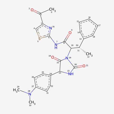 CC(=O)c1csc(NC(=O)C([C@@H](C)c2ccccc2)N2C(=O)NC(c3ccc(N(C)C)cc3)C2=O)n1